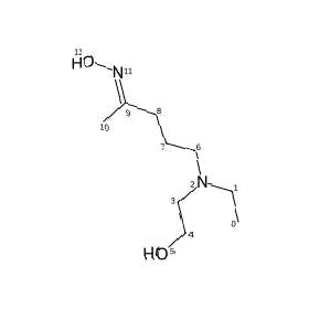 CCN(CCO)CCC/C(C)=N/O